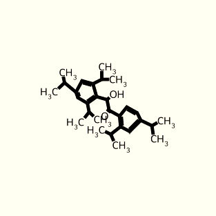 CC(C)c1[c]c(C(C)C)c(C(=O)C(O)c2c(C(C)C)cc(C(C)C)cc2C(C)C)cc1